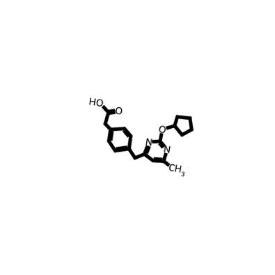 Cc1cc(Cc2ccc(CC(=O)O)cc2)nc(OC2CCCC2)n1